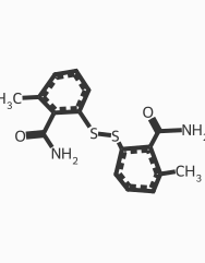 Cc1cccc(SSc2cccc(C)c2C(N)=O)c1C(N)=O